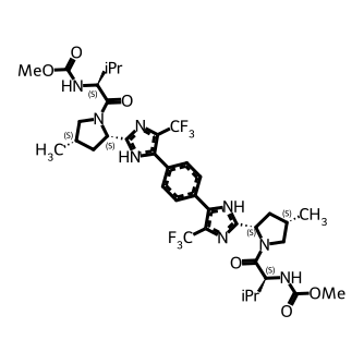 COC(=O)N[C@H](C(=O)N1C[C@@H](C)C[C@H]1c1nc(C(F)(F)F)c(-c2ccc(-c3[nH]c([C@@H]4C[C@H](C)CN4C(=O)[C@@H](NC(=O)OC)C(C)C)nc3C(F)(F)F)cc2)[nH]1)C(C)C